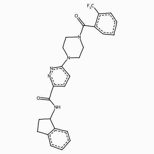 O=C(NC1CCc2ccccc21)c1ccc(N2CCN(C(=O)c3ccccc3C(F)(F)F)CC2)nn1